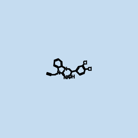 C#CCn1c(=N)n(CC(O)c2ccc(Cl)c(Cl)c2)c2ccccc21